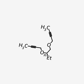 CC#CCOC[C@@H](CC)OCC#CC